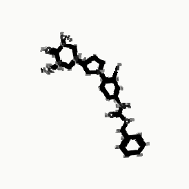 CN1CN(C2CCN(c3ccc(NC(=O)OCc4ccccc4)cc3F)C2)CN(C)C1=O